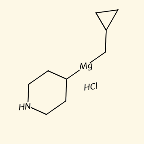 C1C[CH]([Mg][CH2]C2CC2)CCN1.Cl